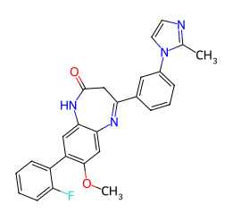 COc1cc2c(cc1-c1ccccc1F)NC(=O)CC(c1cccc(-n3ccnc3C)c1)=N2